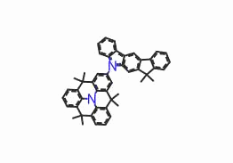 CC1(C)c2ccccc2-c2cc3c4ccccc4n(-c4cc5c6c(c4)C(C)(C)c4cccc7c4N6c4c(cccc4C5(C)C)C7(C)C)c3cc21